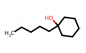 CCCCCC1(O)CC[CH]CC1